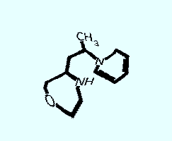 CC(CC1COCCN1)N1C=CC=CC1